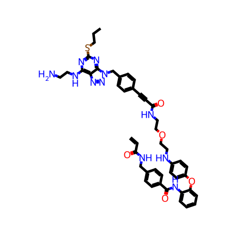 C=CC(=O)NCc1ccc(C(=O)Nc2ccccc2Oc2ccc(NCCOCCNC(=O)C#Cc3ccc(Cn4nnc5c(NCCN)nc(SCCC)nc54)cc3)cc2)cc1